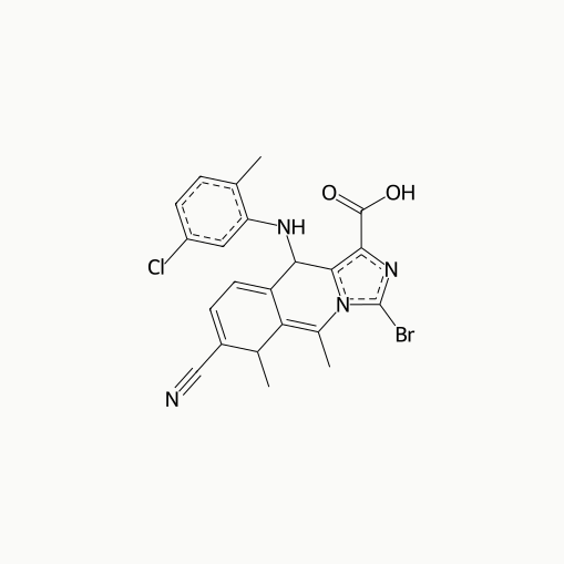 CC1=C2C(=CC=C(C#N)C2C)C(Nc2cc(Cl)ccc2C)c2c(C(=O)O)nc(Br)n21